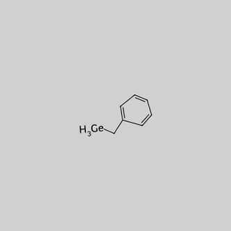 [GeH3][CH2]c1ccccc1